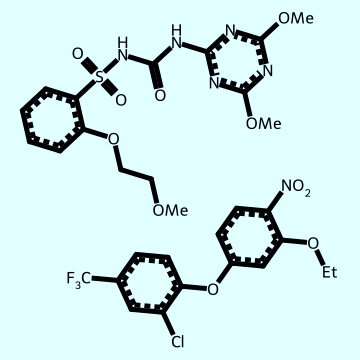 CCOc1cc(Oc2ccc(C(F)(F)F)cc2Cl)ccc1[N+](=O)[O-].COCCOc1ccccc1S(=O)(=O)NC(=O)Nc1nc(OC)nc(OC)n1